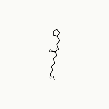 [CH2]CCCCCCC(=O)OCCC1CCCC1